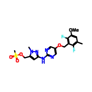 COc1cc(C)c(F)c(COc2cnc(Nc3cc(COS(C)(=O)=O)n(C)n3)nc2)c1F